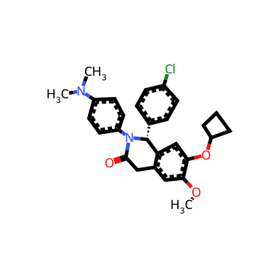 COc1cc2c(cc1OC1CCC1)[C@@H](c1ccc(Cl)cc1)N(c1ccc(N(C)C)cc1)C(=O)C2